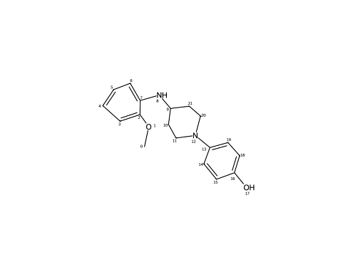 COc1ccccc1NC1CCN(c2ccc(O)cc2)CC1